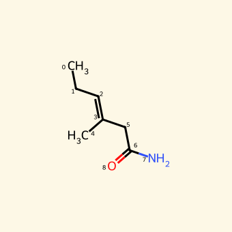 CC/C=C(\C)CC(N)=O